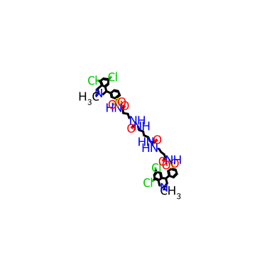 CN1Cc2c(Cl)cc(Cl)cc2C(c2cccc(S(=O)(=O)NC(=O)CCCNC(=O)NCCCCNC(=O)NCCCC(=O)NS(=O)(=O)c3cccc(C4CN(C)Cc5c(Cl)cc(Cl)cc54)c3)c2)C1